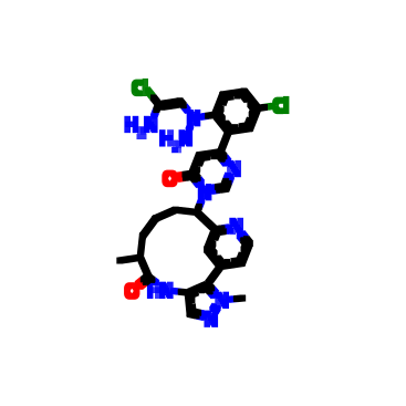 CC1CCCC(n2cnc(-c3cc(Cl)ccc3N(N)/C=C(\N)Cl)cc2=O)c2cc(ccn2)-c2c(cnn2C)NC1=O